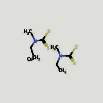 CCN(C)C(=S)[S-].CCN(C)C(=S)[S-].[Cu+2]